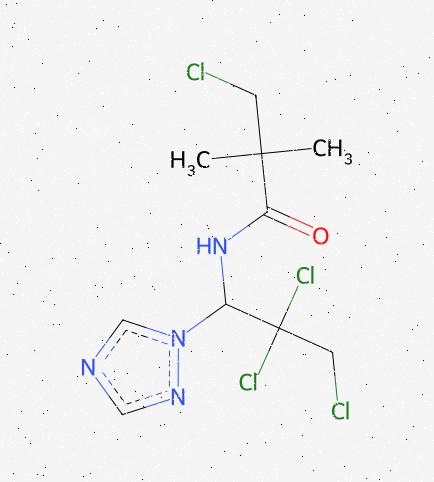 CC(C)(CCl)C(=O)NC(n1cncn1)C(Cl)(Cl)CCl